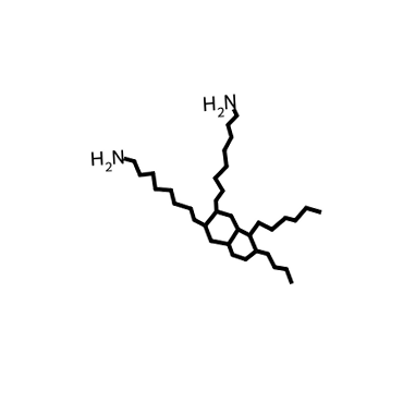 CCCCCCC1C(CCCC)CCC2CC(CCCCCCCCN)C(CCCCCCCCN)CC21